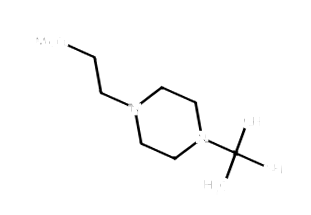 COCCN1CCN(C(C)(C)S)CC1